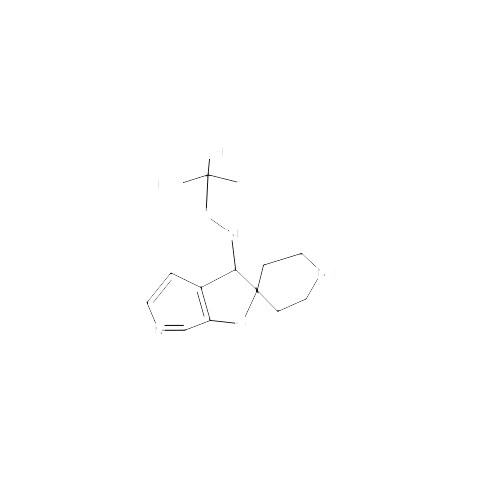 CC(C)(C)SNC1c2ccncc2OC12CCNCC2